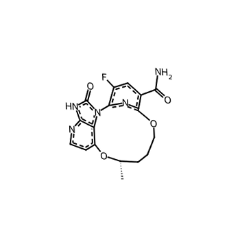 C[C@H]1CCCOc2nc(c(F)cc2C(N)=O)-n2c(=O)[nH]c3nccc(c32)O1